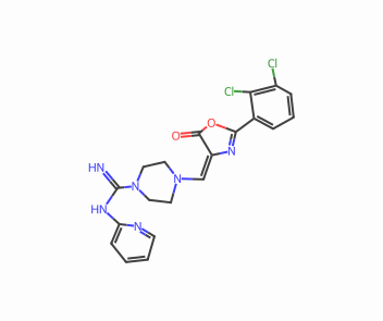 N=C(Nc1ccccn1)N1CCN(/C=C2/N=C(c3cccc(Cl)c3Cl)OC2=O)CC1